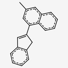 Cc1cc(C2=Cc3ccccc3C2)c2ccccc2c1